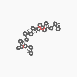 c1cc(-c2ccc3c(c2)sc2c(-c4cccc5c4sc4cccc(-c6cccc(N(c7cccc(-c8cccc9c8sc8ccccc89)c7)c7ccccc7-c7cccc8ccccc78)c6)c45)cccc23)cc(N(c2cccc(-c3cccc4sc5ccccc5c34)c2)c2ccccc2-c2cccc3ccccc23)c1